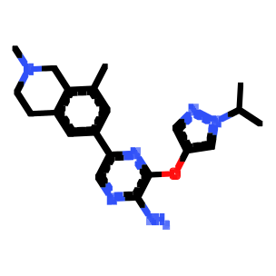 Cc1cc(-c2cnc(N)c(Oc3cnn(C(C)C)c3)n2)cc2c1CN(C)CC2